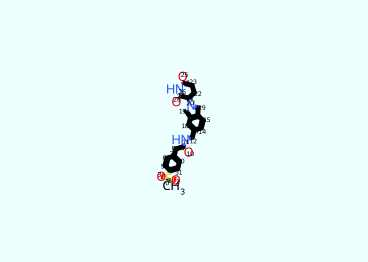 CS(=O)(=O)c1ccc(CC(=O)NCc2ccc3c(c2)CN(C2CCC(=O)NC2=O)C3)cc1